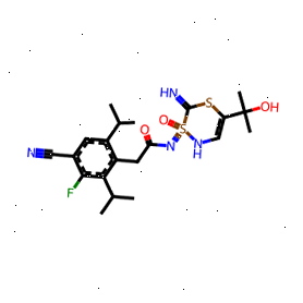 CC(C)c1cc(C#N)c(F)c(C(C)C)c1CC(=O)N=S1(=O)NC=C(C(C)(C)O)SC1=N